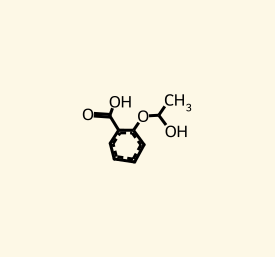 CC(O)Oc1ccccc1C(=O)O